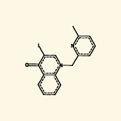 Cc1cccc(Cn2cc(I)c(=O)c3ccccc32)n1